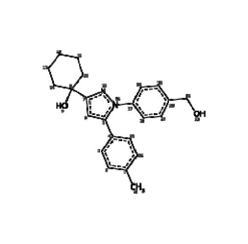 Cc1ccc(-c2cc(C3(O)CCCCC3)nn2-c2ccc(CO)cc2)cc1